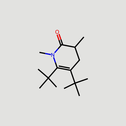 CC1CC(C(C)(C)C)=C(C(C)(C)C)N(C)C1=O